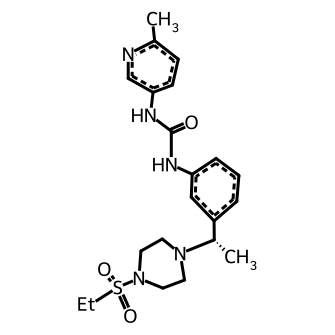 CCS(=O)(=O)N1CCN([C@@H](C)c2cccc(NC(=O)Nc3ccc(C)nc3)c2)CC1